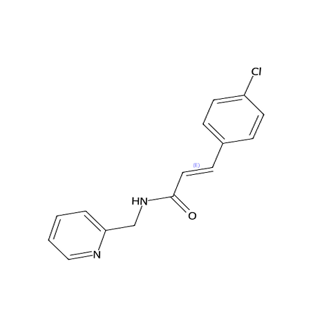 O=C(/C=C/c1ccc(Cl)cc1)NCc1ccccn1